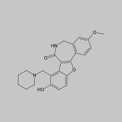 COc1ccc2c(c1)CNC(=O)c1c-2oc2ccc(O)c(CN3CCCCC3)c12